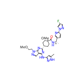 COCCn1ncc2c(Nc3cc(C)[nH]n3)nc([C@H]3CC[C@@](OC)(C(=O)N[C@@H](C)c4ccc(-n5cc(F)cn5)nc4)CC3)nc21